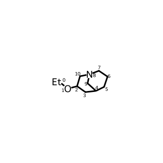 CCOC1CC2CCCN(C2)C1